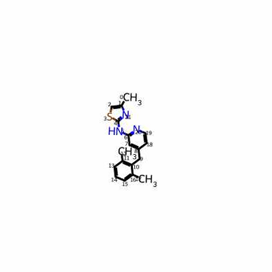 Cc1csc(Nc2cc(Cc3c(C)cccc3C)ccn2)n1